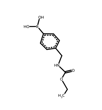 CCOC(=O)NCc1ccc(B(O)O)cc1